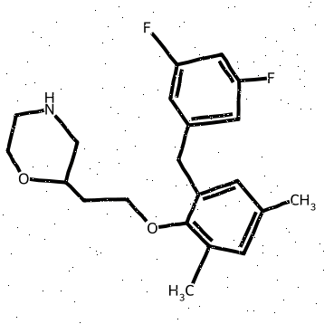 Cc1cc(C)c(OCCC2CNCCO2)c(Cc2cc(F)cc(F)c2)c1